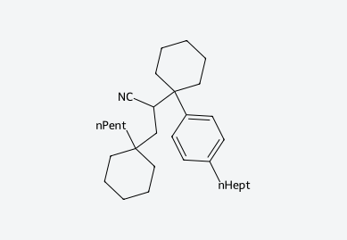 CCCCCCCc1ccc(C2(C(C#N)CC3(CCCCC)CCCCC3)CCCCC2)cc1